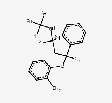 [2H]C([2H])([2H])NC([2H])([2H])CC([2H])(Oc1ccccc1C)c1ccccc1